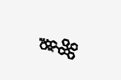 CC12CCCCC1(C)c1cc(-c3ccc4c(c3)C(c3ccccc3)(c3ccccc3)c3ccccc3-4)ccc1S2